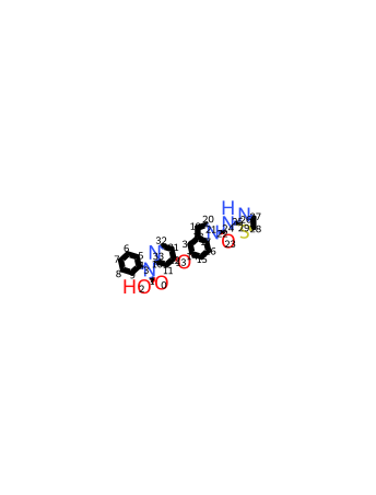 O=C(O)N(c1ccccc1)c1cc(Oc2ccc3c(ccn3C(=O)Nc3nccs3)c2)ccn1